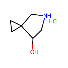 Cl.OC1CNCC12CC2